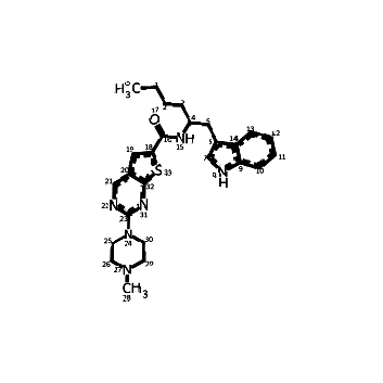 CCCCC(Cc1c[nH]c2ccccc12)NC(=O)c1cc2cnc(N3CCN(C)CC3)nc2s1